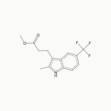 COC(=O)CCc1c(C)[nH]c2ccc(C(F)(F)F)cc12